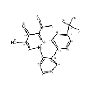 CC(=O)c1nn(-c2ccccc2-c2ccc(C(C)(C)C)cc2)cc(O)c1=O